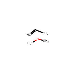 CO[SiH3].[CH]=CC